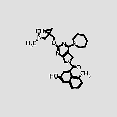 Cc1cccc2cc(O)cc(C(=O)N3Cc4nc(OCC5(CN(C)C)CC5)nc(N5CCCCCC5)c4C3)c12